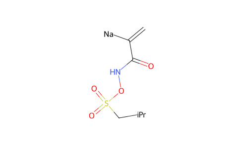 C=[C]([Na])C(=O)NOS(=O)(=O)CC(C)C